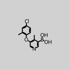 Cc1cc(Cl)ccc1Oc1cncc(B(O)O)c1C